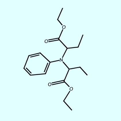 CCOC(=O)C(CC)N(c1ccccc1)C(CC)C(=O)OCC